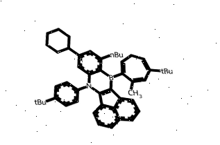 CCCCc1cc(C2CCCCC2)cc2c1B(C1=CCC=C(C(C)(C)C)C=C1C)C1=C(c3cccc4cccc1c34)N2c1ccc(C(C)(C)C)cc1